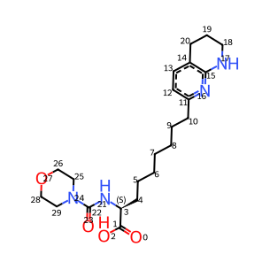 O=C(O)[C@H](CCCCCCCc1ccc2c(n1)NCCC2)NC(=O)N1CCOCC1